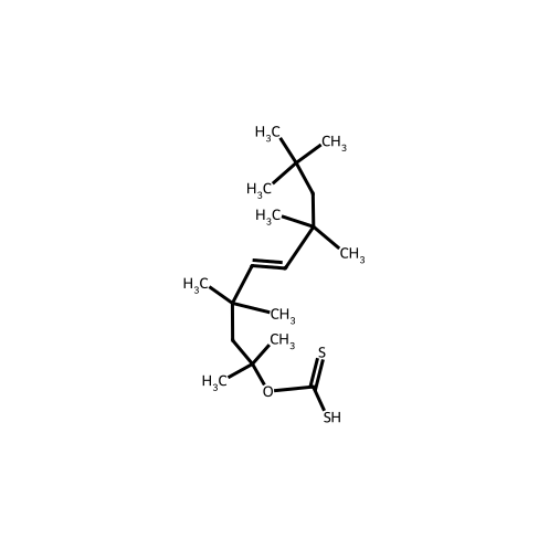 CC(C)(C)CC(C)(C)/C=C/C(C)(C)CC(C)(C)OC(=S)S